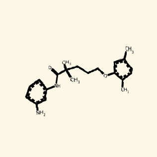 Cc1ccc(C)c(OCCCC(C)(C)C(=O)Nc2cccc(N)c2)c1